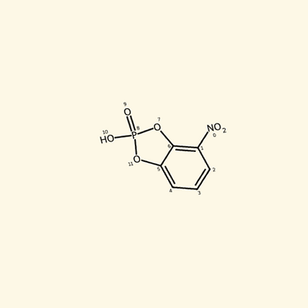 O=[N+]([O-])c1cccc2c1OP(=O)(O)O2